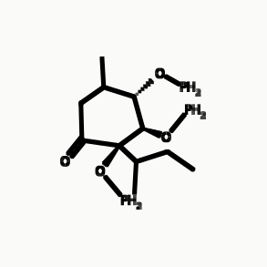 CCC(C)[C@]1(OP)C(=O)CC(C)[C@H](OP)[C@H]1OP